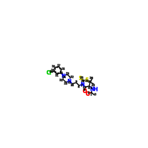 CC(=O)NC1C(=O)N(CCCN2CCN(c3cccc(Cl)c3)CC2)C(=S)SC1(C)C